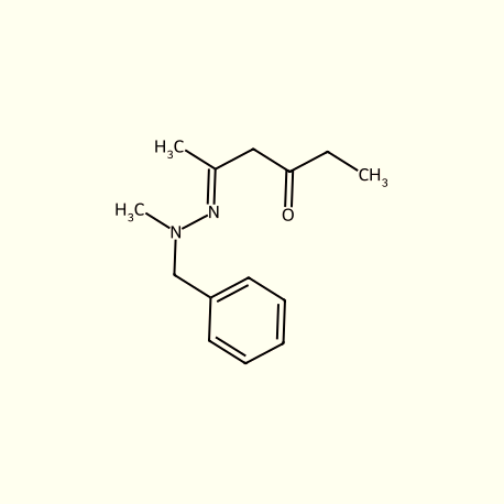 CCC(=O)C/C(C)=N/N(C)Cc1ccccc1